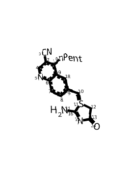 CCCCCc1c(C#N)cnc2ccc(/C=S3/CC(=O)N=C3N)cc12